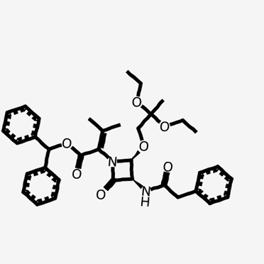 CCOC(C)(CO[C@H]1[C@@H](NC(=O)Cc2ccccc2)C(=O)N1C(C(=O)OC(c1ccccc1)c1ccccc1)=C(C)C)OCC